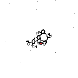 C=CC(=O)N1CC(C)N(c2nc(=O)n3c4nc(c(F)cc24)-c2c(F)cccc2Cn2nncc2Cc2ccnc(C(C)C)c2-3)CC1CC#N